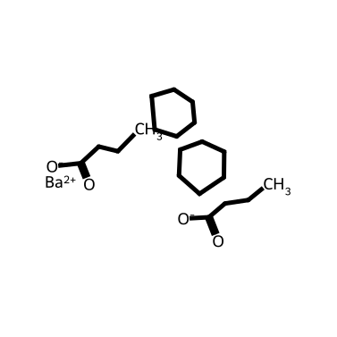 C1CCCCC1.C1CCCCC1.CCCC(=O)[O-].CCCC(=O)[O-].[Ba+2]